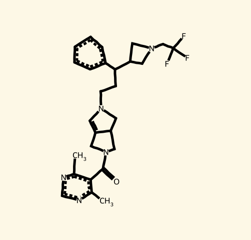 Cc1ncnc(C)c1C(=O)N1CC2=CN(CCC(c3ccccc3)C3CN(CC(F)(F)F)C3)CC2C1